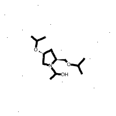 CC(C)OC[C@@H]1C[C@@H](OC(C)C)CN1C(C)O